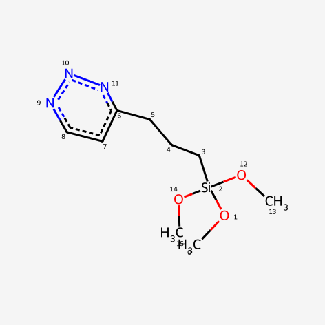 CO[Si](CCCc1ccnnn1)(OC)OC